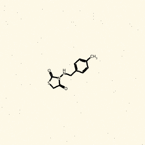 Cc1ccc(CNN2C(=O)CSC2=O)cc1